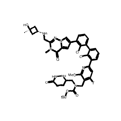 COc1nc(-c2cccc(-c3cccc(-c4cc5c(=O)n(C)c(CN[C@H]6C[C@](C)(O)C6)nn5c4)c3Cl)c2Cl)cc(F)c1CN(CC1CCC(=O)NN1)C(=O)OC(C)(C)C